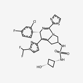 O=S(=O)(N[C@H]1CC2=C(c3ccn(C(F)F)n3)[C@H](c3ccc(F)cc3Cl)N=C(c3nccs3)N2C1)N[C@H]1C[C@@H](O)C1